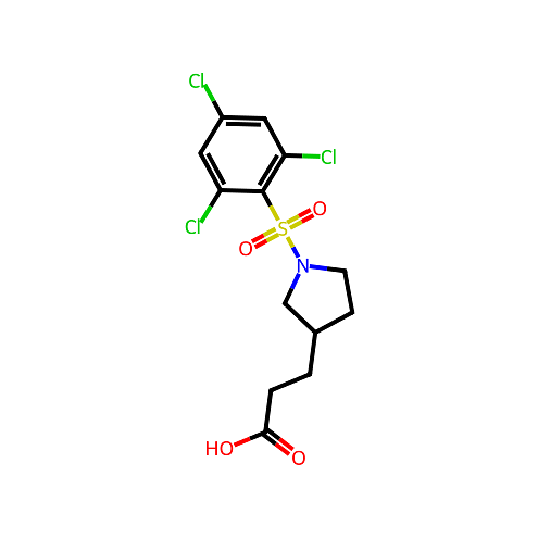 O=C(O)CCC1CCN(S(=O)(=O)c2c(Cl)cc(Cl)cc2Cl)C1